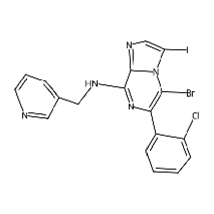 Clc1ccccc1-c1nc(NCc2cccnc2)c2ncc(I)n2c1Br